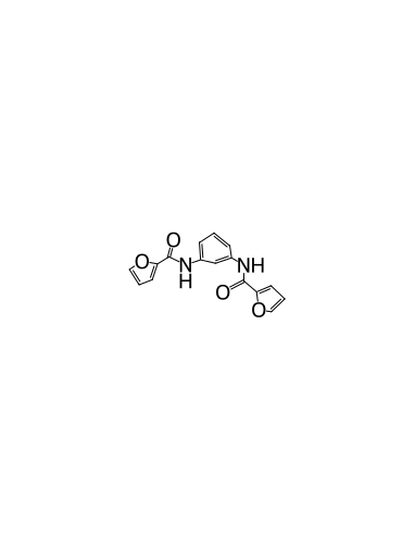 O=C(Nc1cccc(NC(=O)c2ccco2)c1)c1ccco1